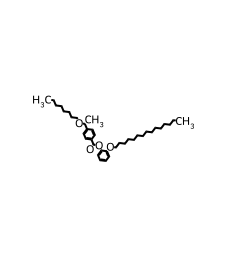 CCCCCCCCCCCCCCCOc1ccccc1OC(=O)c1ccc(C(C)OCCCCCCCC)cc1